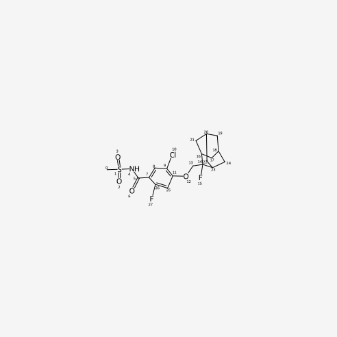 CS(=O)(=O)NC(=O)c1cc(Cl)c(OCC2(F)C3CC4CC(C3)CC2C4)cc1F